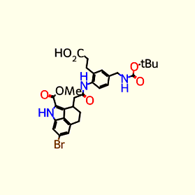 COC(=O)c1[nH]c2cc(Br)cc3c2c1C(CC(=O)Nc1ccc(CNC(=O)OC(C)(C)C)cc1CCC(=O)O)CC3